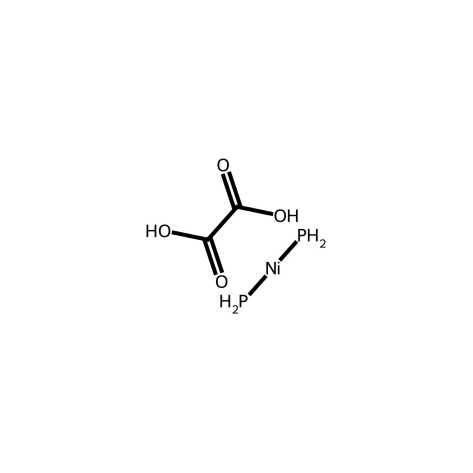 O=C(O)C(=O)O.[PH2][Ni][PH2]